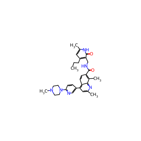 CCCc1cc(C)[nH]c(=O)c1CNC(=O)c1ccc2c(-c3ccc(N4CCN(C)CC4)nc3)cc(C)nc2c1C